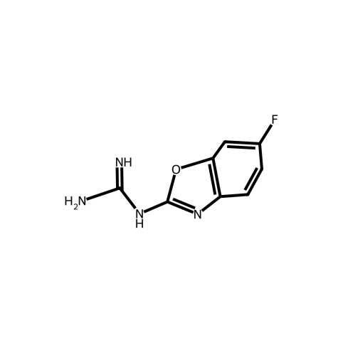 N=C(N)Nc1nc2ccc(F)cc2o1